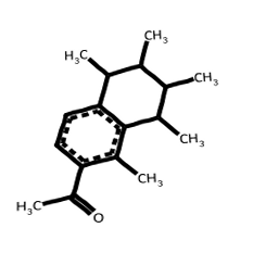 CC(=O)c1ccc2c(c1C)C(C)C(C)C(C)C2C